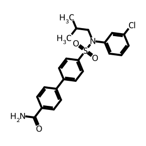 CC(C)CN(c1cccc(Cl)c1)S(=O)(=O)c1ccc(-c2ccc(C(N)=O)cc2)cc1